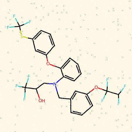 OC(CN(Cc1cccc(OC(F)(F)C(F)F)c1)c1ccccc1Oc1cccc(SC(F)(F)F)c1)C(F)(F)F